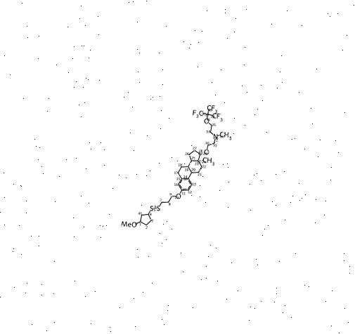 COC1CCC(SSCCCOc2ccc3c(c2)CCC2C3CC[C@@]3(C)C2CC[C@@H]3OCCN(C)CCOC(C(F)(F)F)(C(F)(F)F)C(F)(F)F)C1